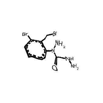 NNC(=O)N(N)c1cccc(Br)c1CBr